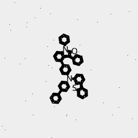 c1ccc(-c2ccc(N(c3ccc(-c4cccc5c4c4c6ccccc6oc4n5-c4ccccc4)cc3)c3cccc4c3sc3ccccc34)cc2)cc1